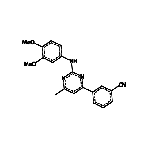 COc1ccc(Nc2nc(C)cc(-c3cccc(C#N)c3)n2)cc1OC